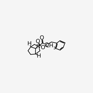 COC(=O)C1[C@@H]2CC[C@H]1CN(C(=O)OCc1ccccc1)C2